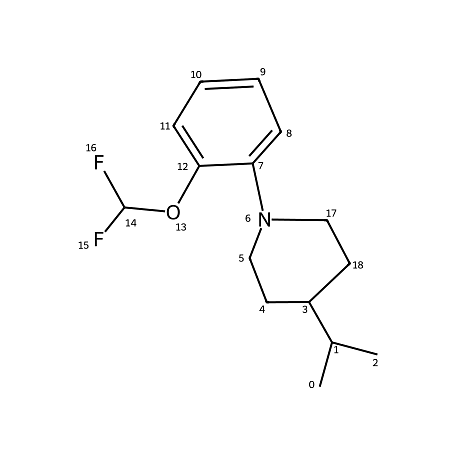 CC(C)C1CCN(c2ccccc2OC(F)F)CC1